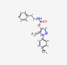 O=C(NCCc1ccccc1)Oc1cnn(-c2ccc(C(F)(F)F)cc2)c1C(F)(F)F